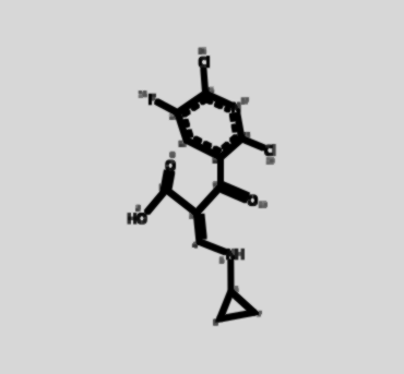 O=C(O)/C(=C/NC1CC1)C(=O)c1cc(F)c(Cl)nc1Cl